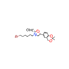 CC1(C)OCc2cc(C3CN(CCCCCCBr)C(C=O)O3)ccc2O1